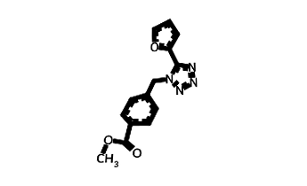 COC(=O)c1ccc(Cn2nnnc2-c2ccco2)cc1